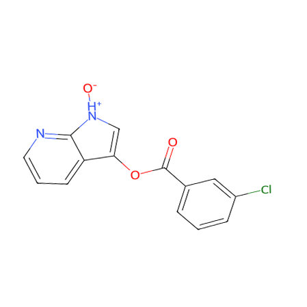 O=C(OC1=C[NH+]([O-])c2ncccc21)c1cccc(Cl)c1